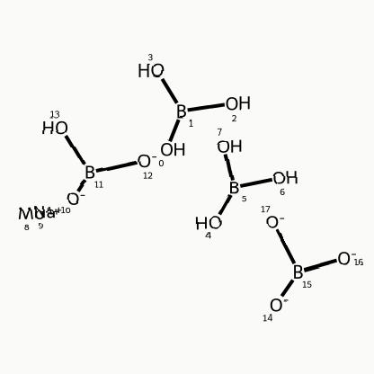 OB(O)O.OB(O)O.[Mo+4].[Na+].[O-]B([O-])O.[O-]B([O-])[O-]